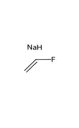 C=CF.[NaH]